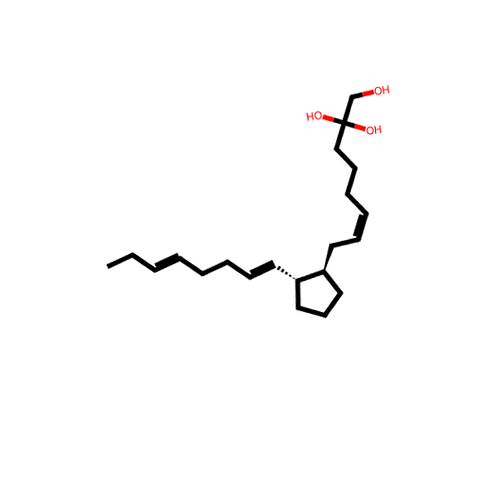 CC/C=C/CC/C=C/[C@H]1CCC[C@@H]1C/C=C\CCCC(O)(O)CO